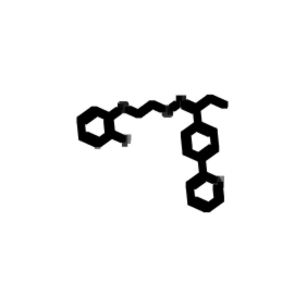 CCC(=NOCCOc1ccc[c]c1F)c1ccc(-c2ccccn2)cc1